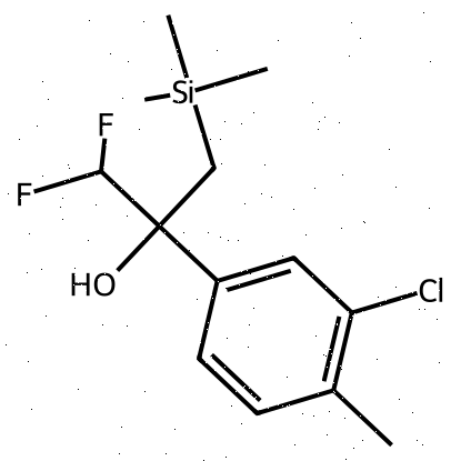 Cc1ccc(C(O)(C[Si](C)(C)C)C(F)F)cc1Cl